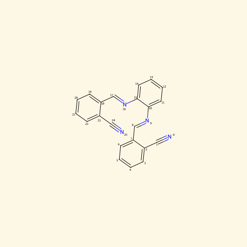 N#Cc1ccccc1C=Nc1ccccc1N=Cc1ccccc1C#N